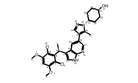 COc1cc(OC)c(Cl)c([C@@H](C)c2c[nH]c3ncc(-c4cnn([C@H]5CC[C@H](O)CC5)c4C)cc23)c1Cl